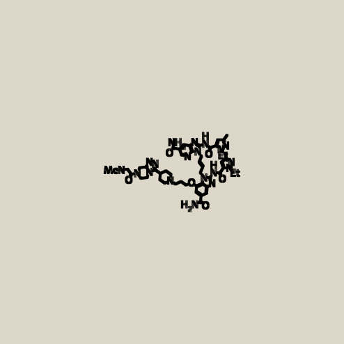 CCn1nc(C)cc1C(=O)Nc1nc2cc(C(N)=O)cnc2n1C/C=C/Cn1c(NC(=O)c2cc(C)nn2CC)nc2cc(C(N)=O)cc(OCCCN3CCC(c4nnc5n4CCN(C(=O)CNC)C5)CC3)c21